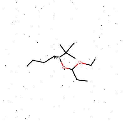 CCCC[SiH](OC(CC)OCC)C(C)(C)C